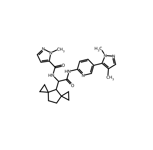 Cc1cnn(C)c1-c1ccc(NC(=O)C(NC(=O)c2ccnn2C)C2C3(CC3)CCC23CC3)nc1